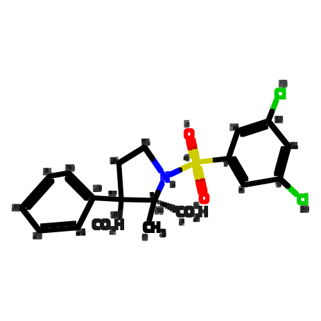 C[C@]1(C(=O)O)N(S(=O)(=O)c2cc(Cl)cc(Cl)c2)CCC1(C(=O)O)c1ccccc1